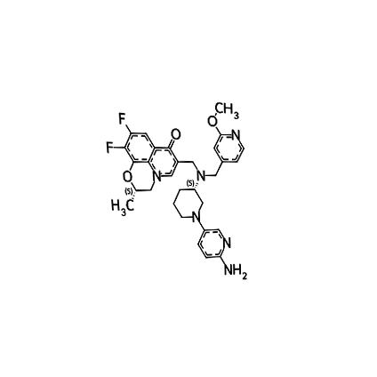 COc1cc(CN(Cc2cn3c4c(c(F)c(F)cc4c2=O)O[C@@H](C)C3)[C@H]2CCCN(c3ccc(N)nc3)C2)ccn1